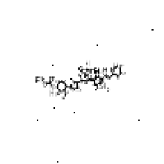 C=C/C(=C\C=C(/CS(=O)(=O)NC(C)(C)C)c1cnc([C@@H]2CC[C@@H](NC(=O)OC(C)C)CC2C)s1)NC(=O)NCc1ccccn1